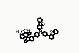 CC1(C)c2ccccc2C2(c3ccccc3-c3ccc(C4=CC=C(N(c5ccc(-c6cccc7c6sc6ccccc67)cc5)c5ccc6c(c5)oc5ccccc56)CC4)cc32)c2ccccc21